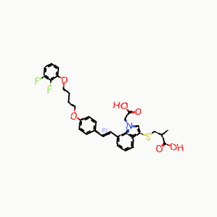 CC(CSc1cn(CC(=O)O)c2c(/C=C/c3ccc(OCCCCOc4cccc(F)c4F)cc3)cccc12)C(=O)O